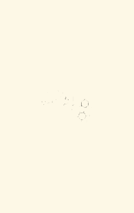 CSCC[C@@H](CC(=O)O)NC(=O)OCC1c2ccccc2-c2ccccc21